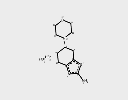 Br.Br.Nc1nc2c(s1)C[C@@H](N1CCOCC1)CC2